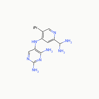 CC(C)c1cnc(C(N)N)cc1Nc1cnc(N)nc1N